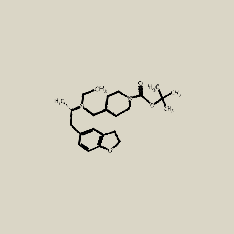 CCN(CC1CCN(C(=O)OC(C)(C)C)CC1)[C@@H](C)Cc1ccc2c(c1)CCO2